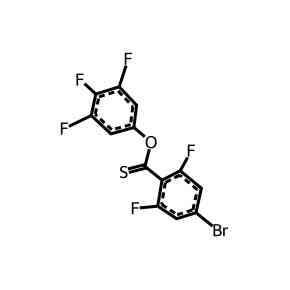 Fc1cc(OC(=S)c2c(F)cc(Br)cc2F)cc(F)c1F